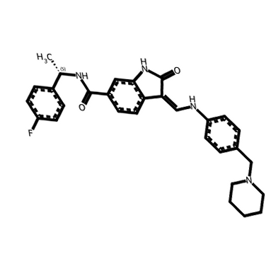 C[C@H](NC(=O)c1ccc2c(c1)NC(=O)C2=CNc1ccc(CN2CCCCC2)cc1)c1ccc(F)cc1